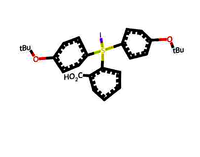 CC(C)(C)Oc1ccc(S(I)(c2ccc(OC(C)(C)C)cc2)c2ccccc2C(=O)O)cc1